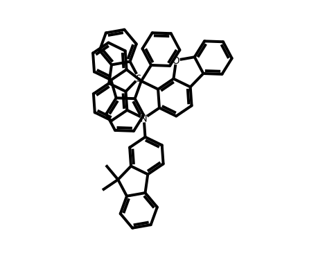 CC1(C)c2ccccc2-c2ccc(N(c3ccc4c(oc5ccccc54)c3C3(c4ccccc4)c4ccccc4-c4ccccc43)c3cccc4c3sc3ccccc34)cc21